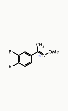 CO/N=C(\C)c1ccc(Br)c(Br)c1